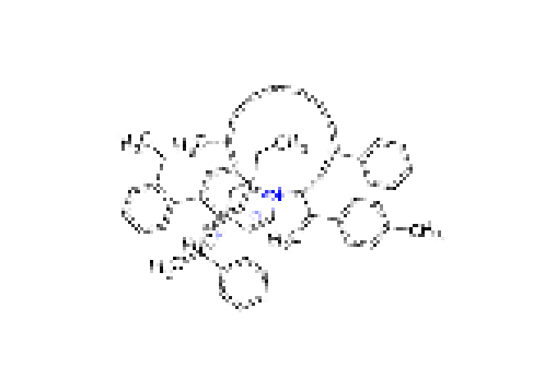 C=C(/C=C(\C=C/n1c(C(=C)c2ccc(C)cc2)cc(-c2ccccc2)ccccccc(C)c2cc(-c3ccccc3CC)c(C)cc21)CCCC)c1ccccc1